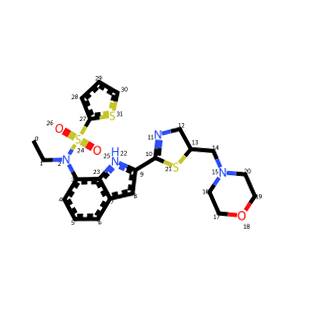 CCN(c1cccc2cc(C3=NCC(CN4CCOCC4)S3)[nH]c12)S(=O)(=O)c1cccs1